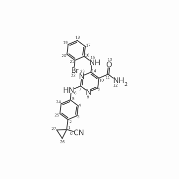 N#CC1(c2ccc(Nc3ncc(C(N)=O)c(Nc4ccccc4Br)n3)cc2)CC1